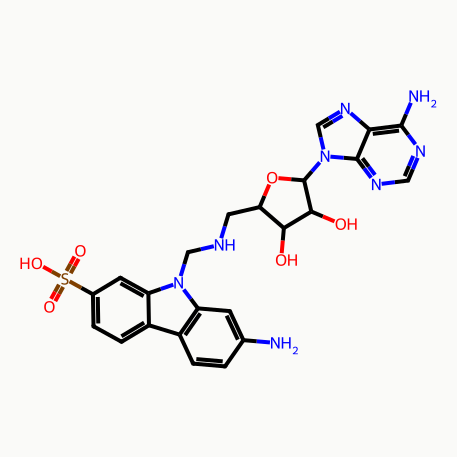 Nc1ccc2c3ccc(S(=O)(=O)O)cc3n(CNCC3OC(n4cnc5c(N)ncnc54)C(O)C3O)c2c1